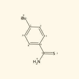 CCC(C)c1ccc(C(N)=S)cc1